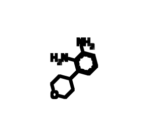 Nc1cccc(C2CCOCC2)c1N